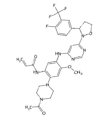 C=CC(=O)Nc1cc(Nc2cc(N3OCCC3c3ccc(F)c(C(F)(F)F)c3)ncn2)c(OC)cc1N1CCN(C(C)=O)CC1